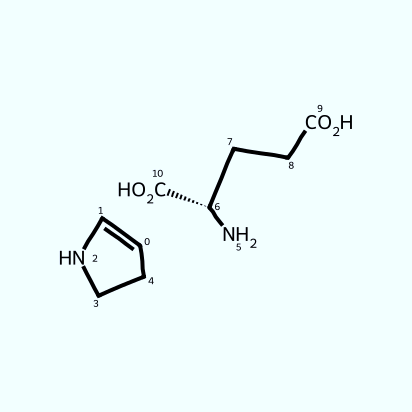 C1=CNCC1.N[C@@H](CCC(=O)O)C(=O)O